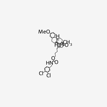 COc1ccc2c(c1)CC[C@H]1[C@@H]3[C@H](CCCCOC(=O)NCc4ccc(Cl)c(Cl)c4)CC(=O)[C@@]3(C)CC[C@H]21